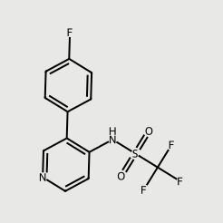 O=S(=O)(Nc1ccncc1-c1ccc(F)cc1)C(F)(F)F